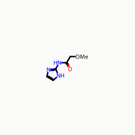 COCC(=O)Nc1ncc[nH]1